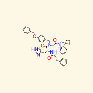 O=C(CN(Cc1ccc(OCc2ccccc2)cc1)C(=O)[C@H](Cc1c[nH]cn1)NC(=O)SCc1ccccc1)NCC1(c2ccccc2)CCC1